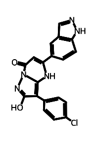 O=c1cc(-c2ccc3[nH]ncc3c2)[nH]c2c(-c3ccc(Cl)cc3)c(O)nn12